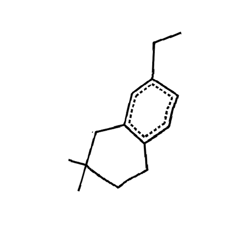 CCc1ccc2c(c1)[CH]C(C)(C)CC2